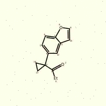 CCC(=O)C1(c2ccc3occc3c2)CC1